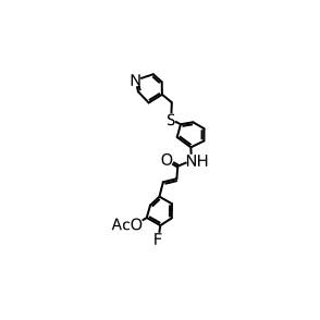 CC(=O)Oc1cc(C=CC(=O)Nc2cccc(SCc3ccncc3)c2)ccc1F